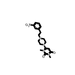 Cn1c(N2CCN(CCc3cccc([N+](=O)[O-])c3)CC2)cc(=O)n(C)c1=O